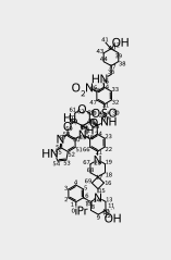 CC(C)c1ccccc1[C@@H]1CC[C@](C)(O)CN1C1CC2(CCN(c3ccc(C(=O)NS(=O)(=O)c4ccc(NCC5CCC(C)(O)CC5)c([N+](=O)[O-])c4)c(N4c5cc6cc[nH]c6nc5O[C@H]5COCC[C@@H]54)c3)CC2)C1